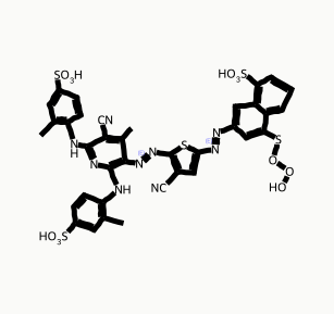 Cc1cc(S(=O)(=O)O)ccc1Nc1nc(Nc2ccc(S(=O)(=O)O)cc2C)c(/N=N/c2sc(/N=N/c3cc(SOOO)c4cccc(S(=O)(=O)O)c4c3)cc2C#N)c(C)c1C#N